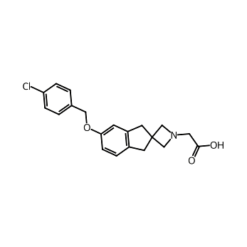 O=C(O)CN1CC2(Cc3ccc(OCc4ccc(Cl)cc4)cc3C2)C1